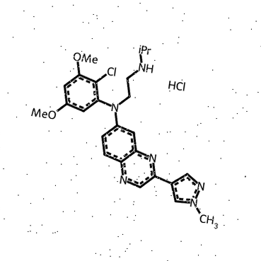 COc1cc(OC)c(Cl)c(N(CCNC(C)C)c2ccc3ncc(-c4cnn(C)c4)nc3c2)c1.Cl